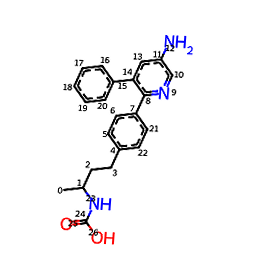 CC(CCc1ccc(-c2ncc(N)cc2-c2ccccc2)cc1)NC(=O)O